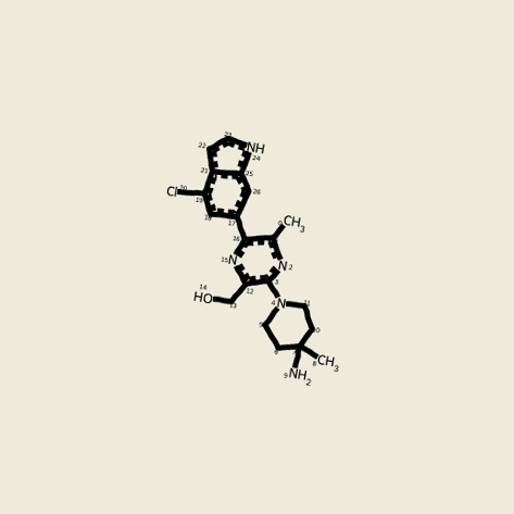 Cc1nc(N2CCC(C)(N)CC2)c(CO)nc1-c1cc(Cl)c2cc[nH]c2c1